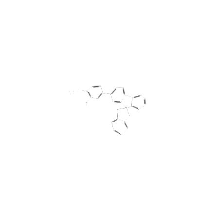 Cc1ccc(-c2ccc3c(c2)C2(Cc4ccccc4C2)c2ccccc2-3)cc1I